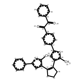 Cc1sc(-c2ccccc2)cc1C1=C(c2cc(-c3ccc(C(=O)C(=O)c4ccccc4)cc3)sc2C)CCC1